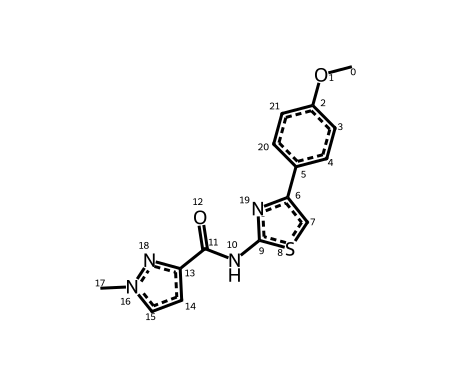 COc1ccc(-c2csc(NC(=O)c3ccn(C)n3)n2)cc1